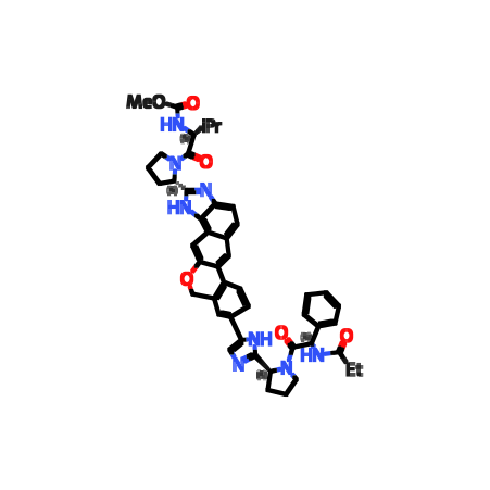 CCC(=O)N[C@@H](C(=O)N1CCC[C@H]1c1ncc(-c2ccc3c(c2)COc2cc4c(ccc5nc([C@@H]6CCCN6C(=O)[C@@H](NC(=O)OC)C(C)C)[nH]c54)cc2-3)[nH]1)c1ccccc1